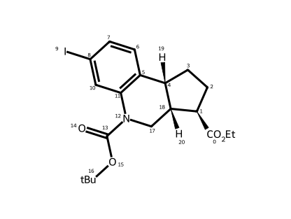 CCOC(=O)[C@@H]1CC[C@H]2c3ccc(I)cc3N(C(=O)OC(C)(C)C)C[C@@H]12